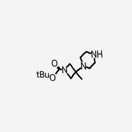 CC(C)(C)OC(=O)N1CC(C)(N2CCNCC2)C1